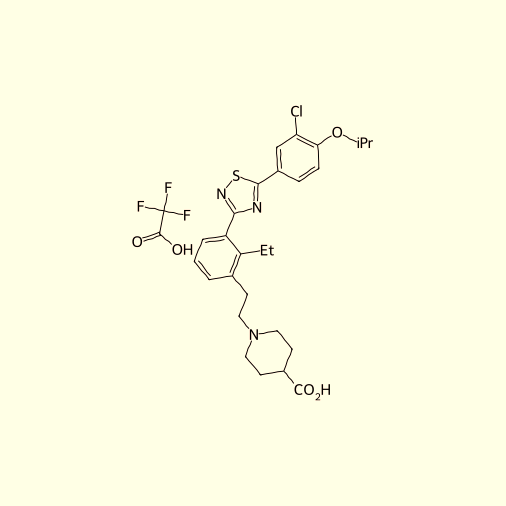 CCc1c(CCN2CCC(C(=O)O)CC2)cccc1-c1nsc(-c2ccc(OC(C)C)c(Cl)c2)n1.O=C(O)C(F)(F)F